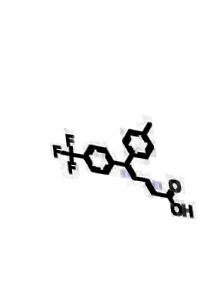 Cc1ccc(/C(=C\C=C\C(=O)O)c2ccc(C(F)(F)F)cc2)cc1